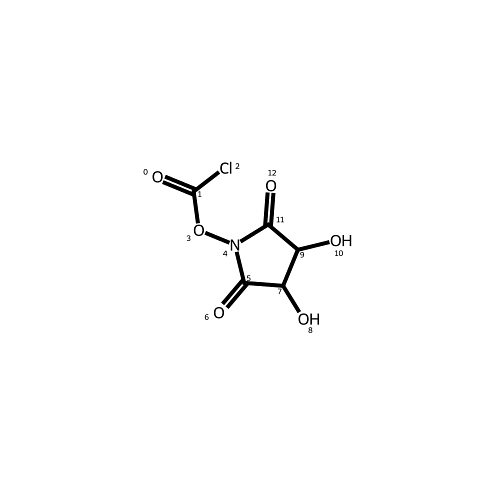 O=C(Cl)ON1C(=O)C(O)C(O)C1=O